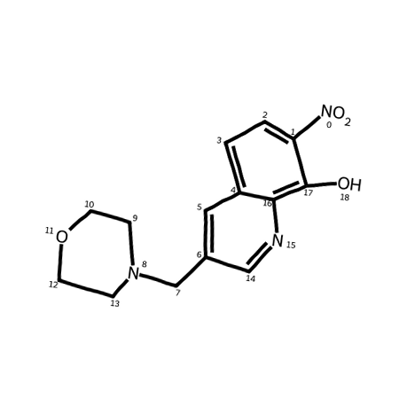 O=[N+]([O-])c1ccc2cc(CN3CCOCC3)cnc2c1O